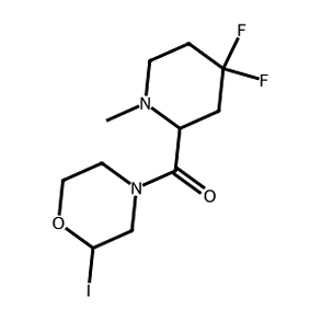 CN1CCC(F)(F)CC1C(=O)N1CCOC(I)C1